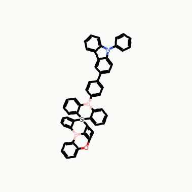 c1ccc(-n2c3ccccc3c3cc(-c4ccc(B5c6ccccc6[Si]6(c7ccccc75)c5ccccc5B5c7ccccc7Oc7cccc6c75)cc4)ccc32)cc1